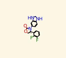 O=C1OC[C@H](c2cccc(F)c2F)N1c1ccc2c(c1)NCN2